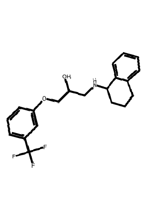 OC(CNC1CCCc2ccccc21)COc1cccc(C(F)(F)F)c1